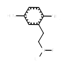 CCN(CC)CCc1cc(N)ccc1N